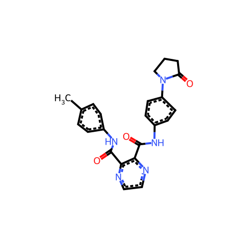 Cc1ccc(NC(=O)c2nccnc2C(=O)Nc2ccc(N3CCCC3=O)cc2)cc1